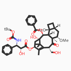 CO[C@H]1C[C@H]2CC[C@@]2(OC(C)=O)[C@H]2[C@H](OC(=O)c3ccccc3)[C@]3(O)C[C@H](OC(=O)[C@H](O)[C@@H](NC(=O)OC(C)(C)C)c4ccccc4)C(C)=C([C@@H](CO)C(=O)[C@]12C)C3(C)C